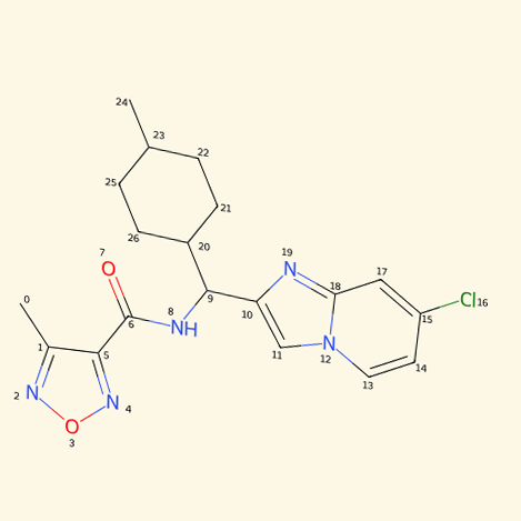 Cc1nonc1C(=O)NC(c1cn2ccc(Cl)cc2n1)C1CCC(C)CC1